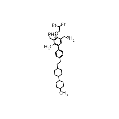 CCC(CC)COc1c(CP)cc(-c2ccc(CCC3CCC(C4CCC(C)CC4)CC3)cc2)c(C)c1CP